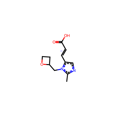 Cc1ncc(/C=C/C(=O)O)n1CC1CCO1